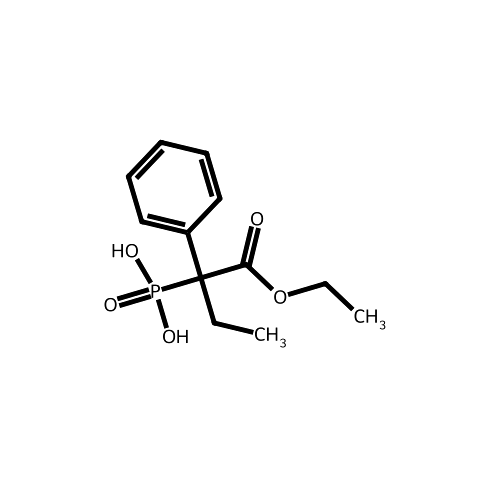 CCOC(=O)C(CC)(c1ccccc1)P(=O)(O)O